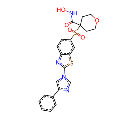 O=C(NO)C1(S(=O)(=O)c2ccc3nc(-n4cnc(-c5ccccc5)c4)sc3c2)CCOCC1